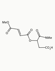 CNC(=O)C(CC(=O)O)OC(=O)/C=C/C(=O)OC